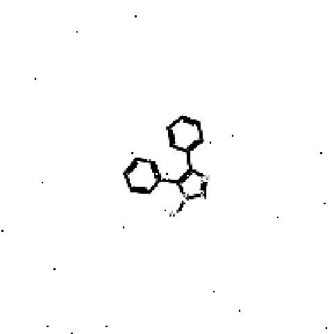 CC(=O)n1nnc(-c2ccccc2)c1-c1ccccc1